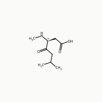 CN[C@@H](CC(=O)O)C(=O)C[C](C)C